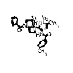 Cc1ccc(C(=O)N[C@@H](CC(C)C)C(=O)N2CCC3[C@H]2C(=O)CN3C(=O)c2ccccc2)cc1